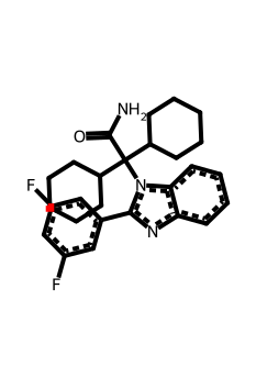 NC(=O)C(C1CCCCC1)(C1CCCCC1)n1c(-c2cc(F)cc(F)c2)nc2ccccc21